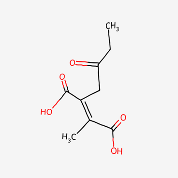 CCC(=O)CC(C(=O)O)=C(C)C(=O)O